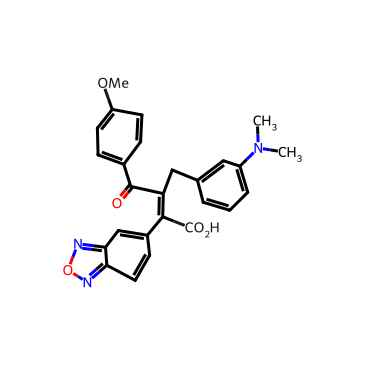 COc1ccc(C(=O)C(Cc2cccc(N(C)C)c2)=C(C(=O)O)c2ccc3nonc3c2)cc1